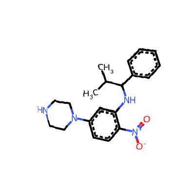 CC(C)C(Nc1cc(N2CCNCC2)ccc1[N+](=O)[O-])c1ccccc1